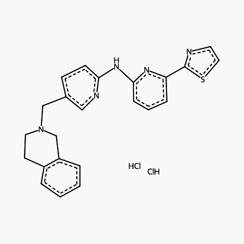 Cl.Cl.c1cc(Nc2ccc(CN3CCc4ccccc4C3)cn2)nc(-c2nccs2)c1